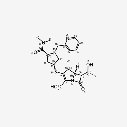 C[C@@H](O)[C@H]1C(=O)N2C(C(=O)O)=C(S[C@H]3C[C@@H](C(=O)N(C)C)N(Cc4ccccn4)C3)[C@H](C)[C@H]12